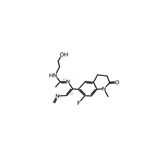 C=N/C=C(\N=C(/C)NCCO)c1cc2c(cc1F)N(C)C(=O)CC2